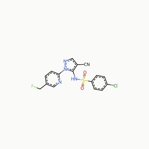 N#Cc1cnn(-c2ccc(CF)cn2)c1NS(=O)(=O)c1ccc(Cl)cc1